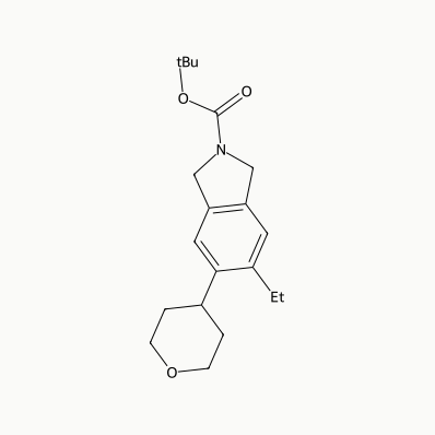 CCc1cc2c(cc1C1CCOCC1)CN(C(=O)OC(C)(C)C)C2